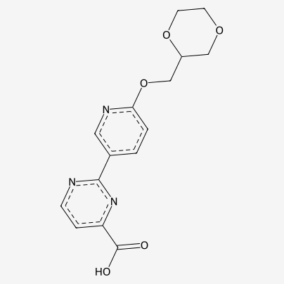 O=C(O)c1ccnc(-c2ccc(OCC3COCCO3)nc2)n1